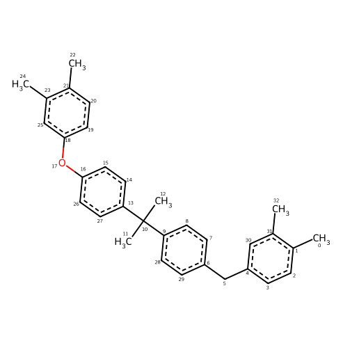 Cc1ccc(Cc2ccc(C(C)(C)c3ccc(Oc4ccc(C)c(C)c4)cc3)cc2)cc1C